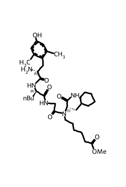 CCCC[C@@H](NC(=O)[C@H](N)Cc1c(C)cc(O)cc1C)C(=O)NCC(=O)N(CCCCCC(=O)OC)[C@@H](CC1CCCCC1)C(N)=O